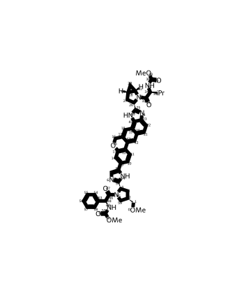 COC[C@H]1C[C@@H](c2ncc(-c3ccc4c(c3)OCc3cc5c(ccc6nc([C@@H]7C[C@@H]8C[C@@H]8N7C(=O)[C@@H](NC(=O)OC)C(C)C)[nH]c65)cc3-4)[nH]2)N(C(=O)[C@H](NC(=O)OC)c2ccccc2)C1